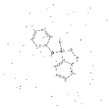 CCO[Si](CC)(Oc1ccccc1)c1ccccc1